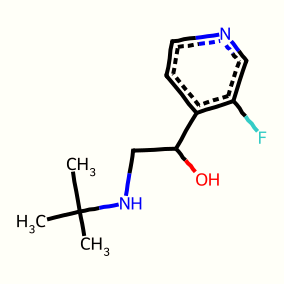 CC(C)(C)NCC(O)c1ccncc1F